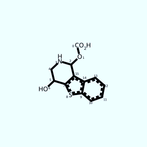 O=C(O)OC1NCC(O)c2sc3ccccc3c21